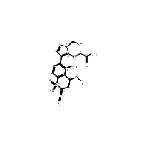 CCn1ncc(-c2ccc3c(c2C)C(OC)CC(=C=O)S3(=O)=O)c1OCC(C)=O